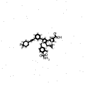 NS(=O)(=O)c1ccc(Cn2c(-c3cccc(C#CC4CCC(F)(F)CC4)c3)cc(-c3nc(C(=O)O)cs3)c2CC2CC2)cc1F